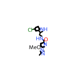 COc1cc(C(=O)NCCC2CNc3ccc(Cl)cc32)ncc1-n1cnc(C)c1